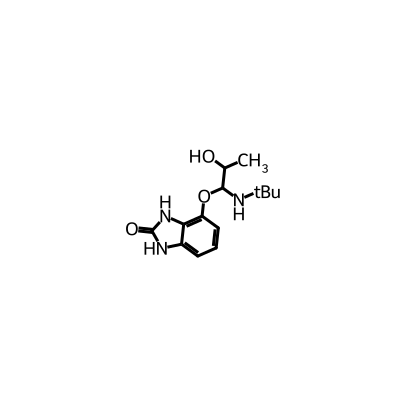 CC(O)C(NC(C)(C)C)Oc1cccc2[nH]c(=O)[nH]c12